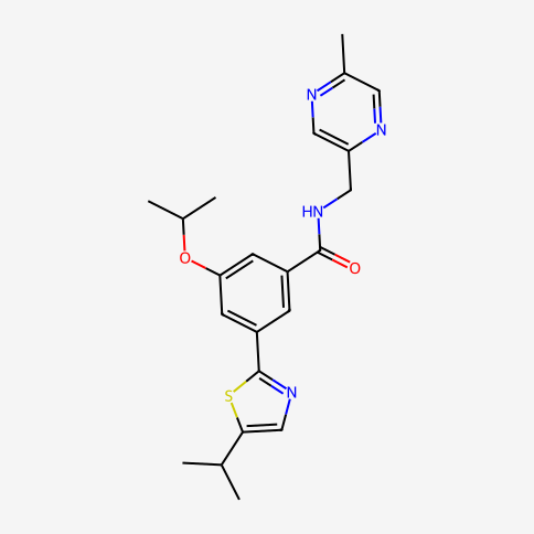 Cc1cnc(CNC(=O)c2cc(OC(C)C)cc(-c3ncc(C(C)C)s3)c2)cn1